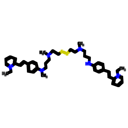 CC[n+]1ccccc1/C=C/c1ccc(NCCCN(C)CCSSCCN(C)CCCN(C)c2ccc(/C=C/c3cccc[n+]3CC)cc2)cc1